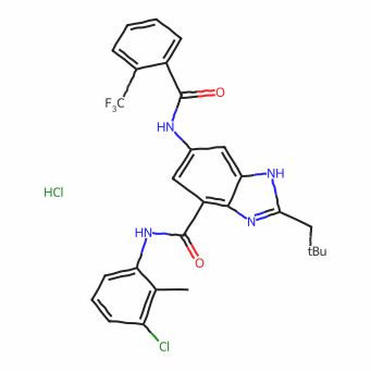 Cc1c(Cl)cccc1NC(=O)c1cc(NC(=O)c2ccccc2C(F)(F)F)cc2[nH]c(CC(C)(C)C)nc12.Cl